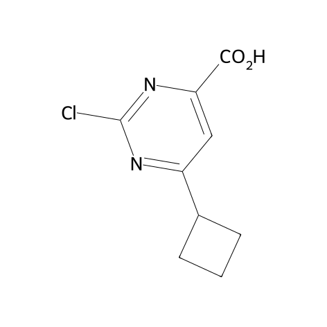 O=C(O)c1cc(C2CCC2)nc(Cl)n1